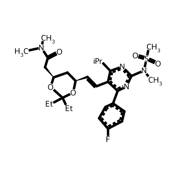 CCC1(CC)O[C@@H](CC(=O)N(C)C)C[C@@H](/C=C/c2c(-c3ccc(F)cc3)nc(N(C)S(C)(=O)=O)nc2C(C)C)O1